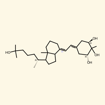 C[C@H](CCCC(C)(C)O)C1CCC2/C(=C/C=C3C[C@@H](O)C(C)(O)[C@H](O)C3)CCCC21C